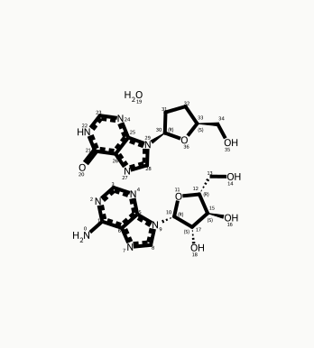 Nc1ncnc2c1ncn2[C@@H]1O[C@H](CO)[C@@H](O)[C@@H]1O.O.O=c1[nH]cnc2c1ncn2[C@H]1CC[C@@H](CO)O1